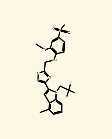 COc1cc(S(C)(=O)=O)ccc1NCc1nc(-c2cc3c(C)cccc3n2CC(F)(F)F)no1